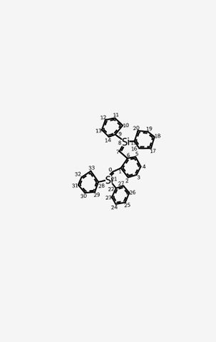 C(c1ccccc1C=[Si](c1ccccc1)c1ccccc1)=[Si](c1ccccc1)c1ccccc1